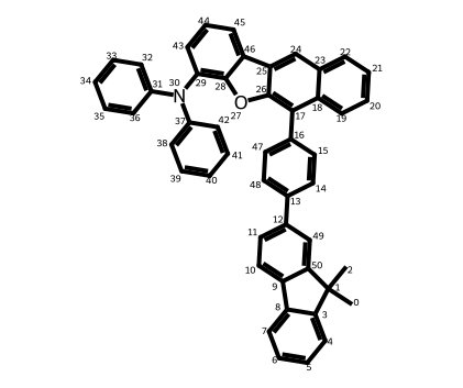 CC1(C)c2ccccc2-c2ccc(-c3ccc(-c4c5ccccc5cc5c4oc4c(N(c6ccccc6)c6ccccc6)cccc45)cc3)cc21